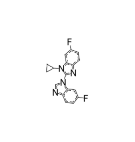 Fc1ccc2ncn(-c3nc4ccc(F)cc4n3C3CC3)c2c1